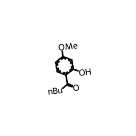 CCCCC(=O)c1ccc(OC)cc1O